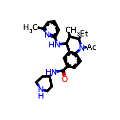 CCC1C(C)C(Nc2cccc(C)n2)c2cc(C(=O)NC3CCNCC3)ccc2N1C(C)=O